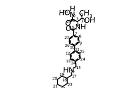 C[C@@H](O)[C@H](NC(=O)c1ccc(-c2ccc(CNCC3CCCCC3)cc2)cc1)C(=O)NO